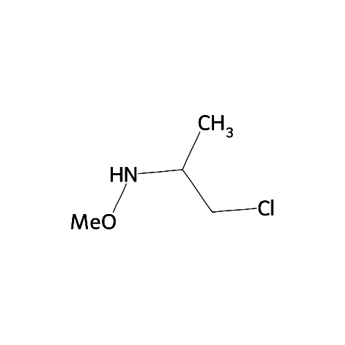 CONC(C)CCl